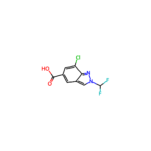 O=C(O)c1cc(Cl)c2nn(C(F)F)cc2c1